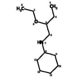 CCOC(CC)CNC1CCCCC1